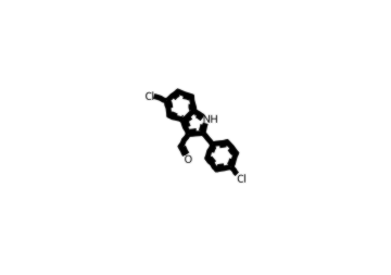 O=Cc1c(-c2ccc(Cl)cc2)[nH]c2ccc(Cl)cc12